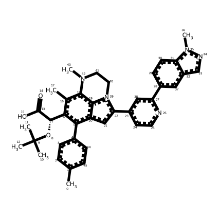 Cc1ccc(-c2c([C@H](OC(C)(C)C)C(=O)O)c(C)c3c4c2cc(-c2ccnc(-c5ccc6c(cnn6C)c5)c2)n4CCN3C)cc1